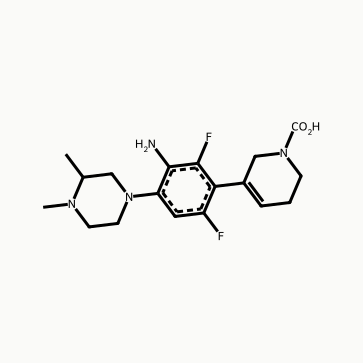 CC1CN(c2cc(F)c(C3=CCCN(C(=O)O)C3)c(F)c2N)CCN1C